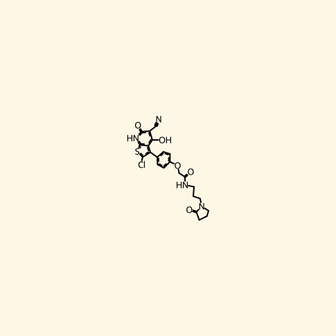 N#Cc1c(O)c2c(-c3ccc(OCC(=O)NCCCN4CCCC4=O)cc3)c(Cl)sc2[nH]c1=O